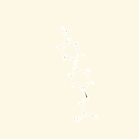 CCC(F)CC[C@H]1CC[C@H](c2ccc(C#N)cc2)CC1